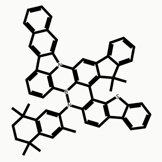 Cc1cc2c(cc1N1B3c4c(cc5c(c4-c4c1ccc1c4sc4ccccc41)C(C)(C)c1ccccc1-5)-n1c4cc5ccccc5cc4c4cccc3c41)C(C)(C)CCC2(C)C